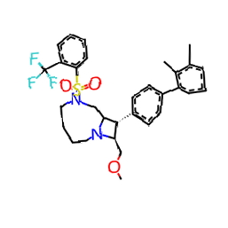 COC[C@@H]1[C@@H](c2ccc(-c3cccc(C)c3C)cc2)C2CN(S(=O)(=O)c3ccccc3C(F)(F)F)CCCCN21